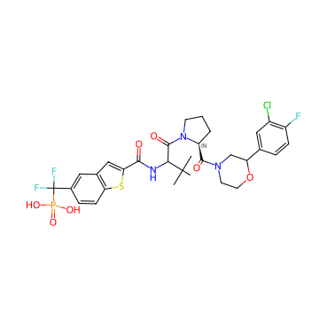 CC(C)(C)C(NC(=O)c1cc2cc(C(F)(F)P(=O)(O)O)ccc2s1)C(=O)N1CCC[C@H]1C(=O)N1CCOC(c2ccc(F)c(Cl)c2)C1